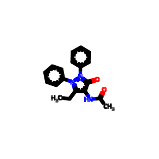 CCc1c(NC(C)=O)c(=O)n(-c2ccccc2)n1-c1ccccc1